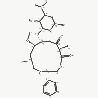 CO[C@@H]1C[C@@H](C)CN[C@@H](c2ccccc2)COC(=O)[C@H](C)C(=O)C[C@H]1O[C@@H]1O[C@H](C)CC(N(C)C)C1O